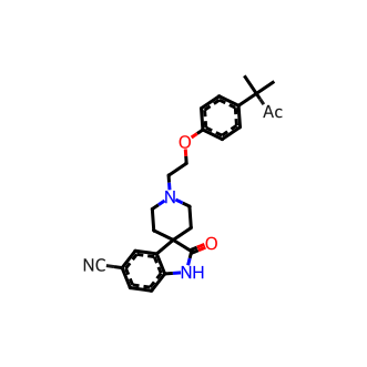 CC(=O)C(C)(C)c1ccc(OCCN2CCC3(CC2)C(=O)Nc2ccc(C#N)cc23)cc1